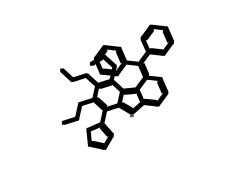 CCCc1c(CCC)c(CCC)c2c(c1C1=CC=CC1)=[C]c1cccc(=C(c3ccccc3)c3ccccc3)c1=2